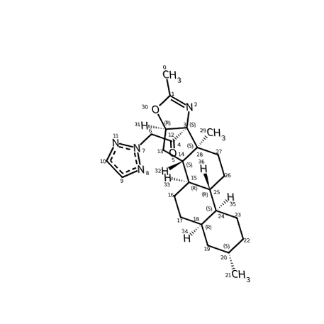 CC1=N[C@]2(C(=O)Cn3nccn3)[C@@H](C[C@H]3[C@@H]4CC[C@@H]5C[C@@H](C)CC[C@@H]5[C@H]4CC[C@@]32C)O1